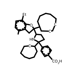 CCc1ccc(C)c2c1OC(C1CCCCCCCCC1)(C1CCC(c3ccc(C(=O)O)cc3)(C3CCCCCCC3)N1)C2